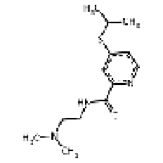 CC(C)Sc1ccnc(C(=O)NCCN(C)C)c1